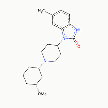 CO[C@@H]1CCC[C@H](N2CCC(n3c(=O)[nH]c4ccc(C)cc43)CC2)C1